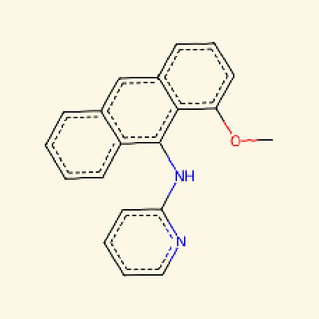 COc1cccc2cc3ccccc3c(Nc3ccccn3)c12